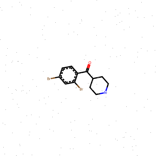 O=C(c1ccc(Br)cc1Br)C1CC[N]CC1